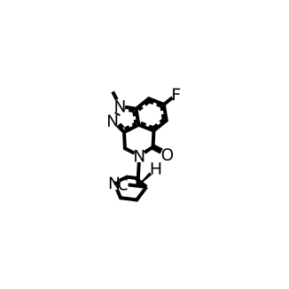 Cn1nc2c3c(cc(F)cc31)C(=O)N([C@H]1CN3CCC1CC3)C2